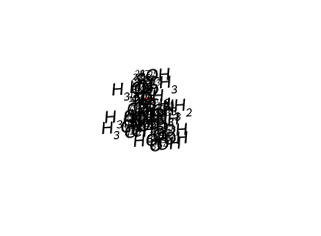 CCC(C)C(C(CC(=O)N1CCC[C@H]1C(OC)C(C)C(=O)NC(C)C(O)c1ccccc1)OC)N(C)C(=O)C(NC(=O)C(C(C)C)N(C)C(=O)OCc1ccc(O[C@H]2O[C@H](C(=O)O)[C@@H](O)[C@H](O)[C@H]2O)c(NC(=O)CCN)c1)C(C)C